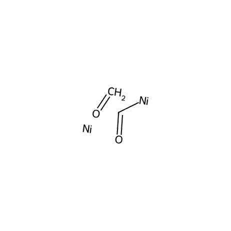 C=O.O=[CH][Ni].[Ni]